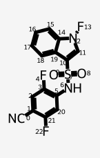 N#Cc1cc(F)c(NS(=O)(=O)c2cn(F)c3ccccc23)cc1F